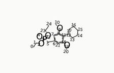 CCOP(=O)(Cc1cc(OC)c(C2CCCCC2)c(OC)c1)OCC